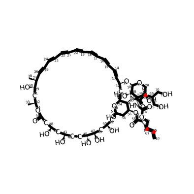 C=CCOC(=O)N[C@@H]1[C@H](O)[C@H](O[C@H]2/C=C/C=C/C=C/C=C/C=C/C=C/C=C/[C@H](C)[C@@H](O)C[C@H](C)OC(=O)C[C@H](O)C[C@H](O)CC[C@@H](O)[C@H](O)C[C@H](O)C[C@]3(O)C[C@H](OC(=O)OCC=C)[C@@H](NC(=O)NC(CO)CO)[C@H](C2)O3)OC[C@H]1O